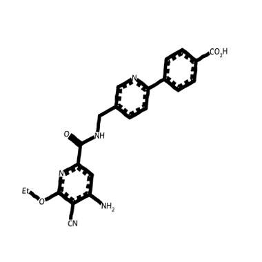 CCOc1nc(C(=O)NCc2ccc(-c3ccc(C(=O)O)cc3)nc2)cc(N)c1C#N